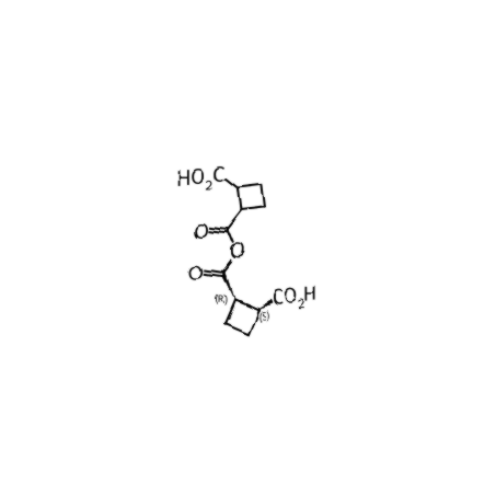 O=C(O)C1CCC1C(=O)OC(=O)[C@@H]1CC[C@@H]1C(=O)O